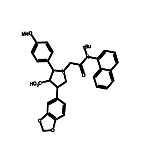 CCCCN(C(=O)CN1CC(c2ccc3c(c2)OCO3)C(C(=O)O)C1c1ccc(OC)cc1)c1cccc2ccccc12